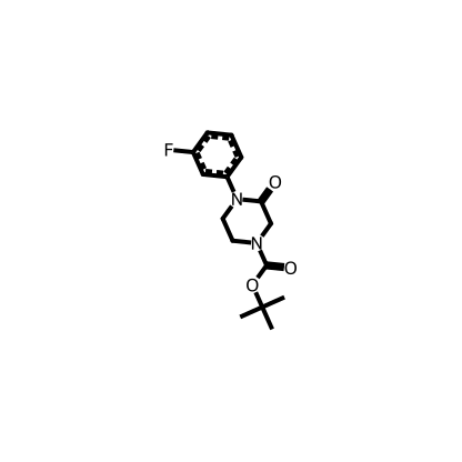 CC(C)(C)OC(=O)N1CCN(c2cccc(F)c2)C(=O)C1